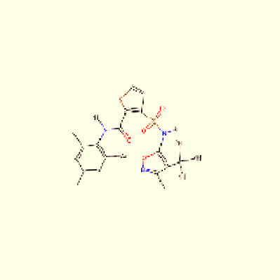 [2H]N(C(=O)c1sccc1S(=O)(=O)N([2H])c1onc(C)c1C([2H])([2H])[2H])c1c(C)cc(C)cc1C(C)=O